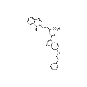 O=C(CC(CCn1nnc2ccccc2c1=O)C(=O)O)c1coc2cc(OCCc3ccccc3)ccc12